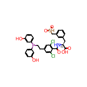 O=C(N[C@@H](Cc1cccc(C[SH](=O)=O)c1)C(=O)O)c1c(Cl)cc(CCP(c2cccc(O)c2)c2cccc(O)c2)cc1Cl